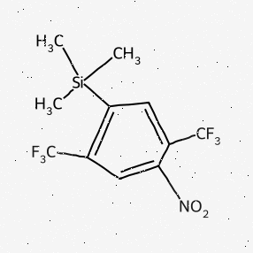 C[Si](C)(C)c1cc(C(F)(F)F)c([N+](=O)[O-])cc1C(F)(F)F